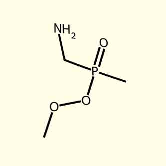 COOP(C)(=O)CN